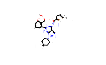 CC1(C)CCC(n2ncc3c(NC(=O)c4ccc([N+](=O)[O-])s4)nc(-c4cccc5c4COCO5)nc32)CC1